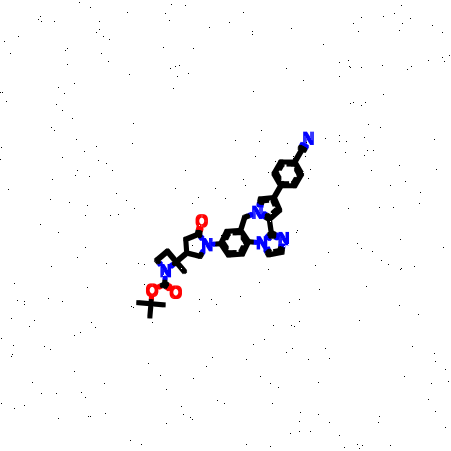 CC(C)(C)OC(=O)N1CCC1(C)C1CC(=O)N(c2ccc3c(c2)Cn2cc(-c4ccc(C#N)cc4)cc2-c2nccn2-3)C1